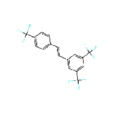 FC(F)(F)c1ccc(/C=C/c2cc(C(F)(F)F)cc(C(F)(F)F)c2)cc1